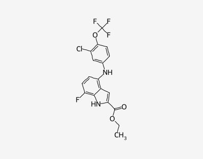 CCOC(=O)c1cc2c(Nc3ccc(OC(F)(F)F)c(Cl)c3)ccc(F)c2[nH]1